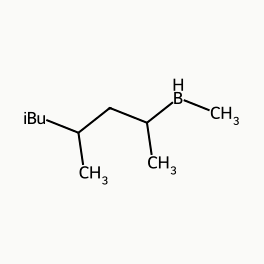 CBC(C)CC(C)C(C)CC